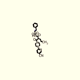 C=CCC(C(=O)NS(=O)(=O)/C=C/c1ccccc1)C(=O)N1CCN(c2ccc(C#N)cn2)CC1